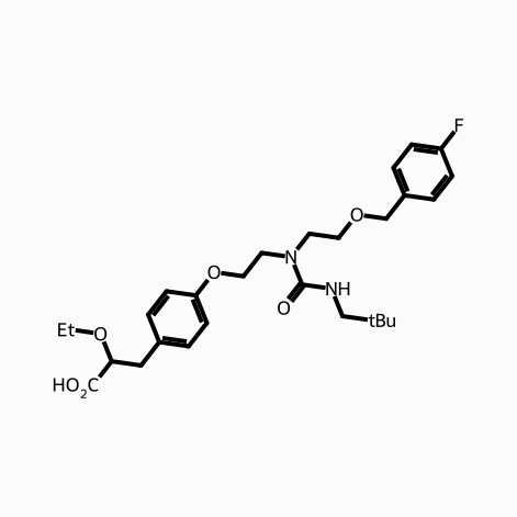 CCOC(Cc1ccc(OCCN(CCOCc2ccc(F)cc2)C(=O)NCC(C)(C)C)cc1)C(=O)O